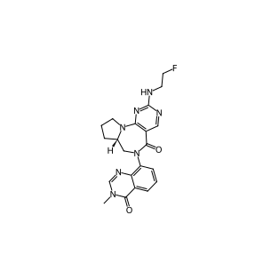 Cn1cnc2c(N3C[C@@H]4CCCN4c4nc(NCCF)ncc4C3=O)cccc2c1=O